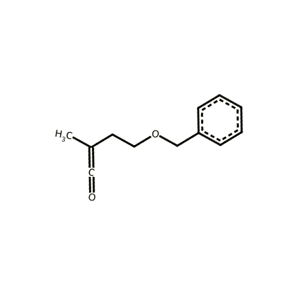 CC(=C=O)CCOCc1ccccc1